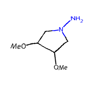 COC1CN(N)CC1OC